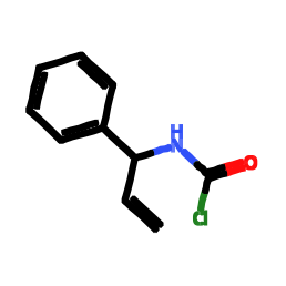 C=CC(NC(=O)Cl)c1ccccc1